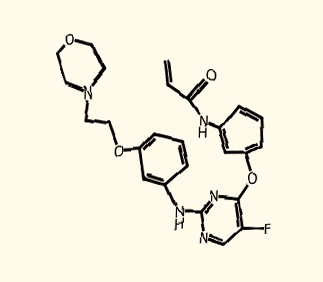 C=CC(=O)Nc1cccc(Oc2nc(Nc3cccc(OCCN4CCOCC4)c3)ncc2F)c1